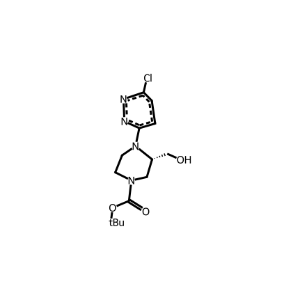 CC(C)(C)OC(=O)N1CCN(c2ccc(Cl)nn2)[C@H](CO)C1